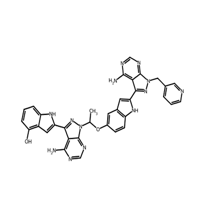 CC(Oc1ccc2[nH]c(-c3nn(Cc4cccnc4)c4ncnc(N)c34)cc2c1)n1nc(-c2cc3c(O)cccc3[nH]2)c2c(N)ncnc21